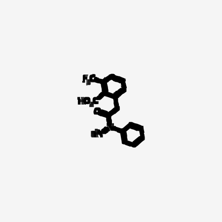 CCCN(C(=O)Cc1cccc(C(F)(F)F)c1C(=O)O)c1ccccc1